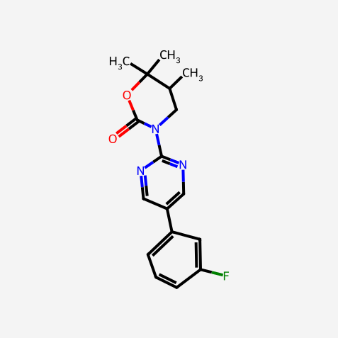 CC1CN(c2ncc(-c3cccc(F)c3)cn2)C(=O)OC1(C)C